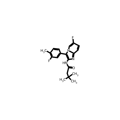 Cc1ccc(-c2c(NC(=O)CC(C)(C)C)nc3ccc(F)cn23)cc1F